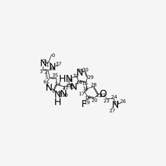 Cc1ncc(-c2cnc3[nH]nc(-c4nc5c(-c6cc(F)cc(OCCN(C)C)c6)ccnc5[nH]4)c3c2)n1C